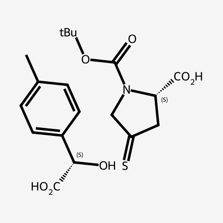 CC(C)(C)OC(=O)N1CC(=S)C[C@H]1C(=O)O.Cc1ccc([C@H](O)C(=O)O)cc1